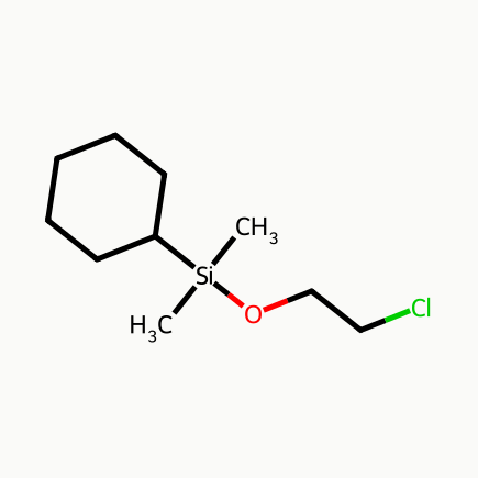 C[Si](C)(OCCCl)C1CCCCC1